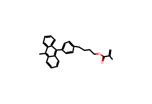 C=C(C)C(=O)OCCCCc1ccc(-c2c3ccccc3c(C)c3ccccc23)cc1